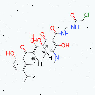 CC(C)c1ccc(O)c2c1C[C@H]1C[C@H]3[C@H](N(C)C)C(O)=C(C(=O)NCNC(=O)CCl)C(=O)[C@@]3(O)C(O)=C1C2=O